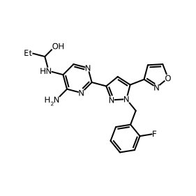 CCC(O)Nc1cnc(-c2cc(-c3ccon3)n(Cc3ccccc3F)n2)nc1N